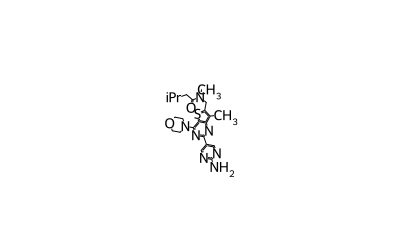 Cc1c(CN(C)C(=O)CC(C)C)sc2c(N3CCOCC3)nc(-c3cnc(N)nc3)nc12